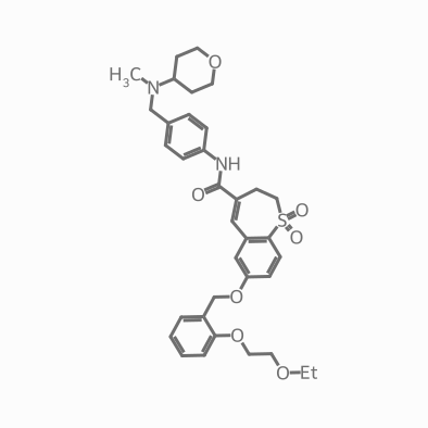 CCOCCOc1ccccc1COc1ccc2c(c1)C=C(C(=O)Nc1ccc(CN(C)C3CCOCC3)cc1)CCS2(=O)=O